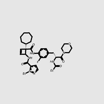 CCC(=O)N[C@H](Cc1ccc(NC(=O)[C@]2(C3CCCCCC3)C=CC2NC(=O)c2ccnn2CC)c(F)c1)C(=O)N1CCOCC1